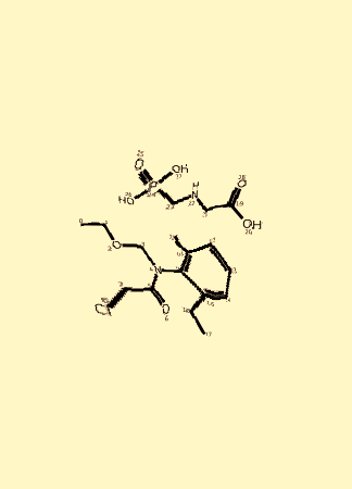 CCOCN(C(=O)CCl)c1c(C)cccc1CC.O=C(O)CNCP(=O)(O)O